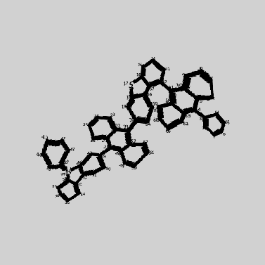 c1ccc(-c2c3ccccc3c(-c3cccc4sc5cc(-c6c7ccccc7c(-c7ccc8c9ccccc9n(-c9ccccc9)c8c7)c7ccccc67)ccc5c34)c3ccccc23)cc1